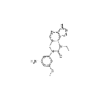 CCN1C(=O)N(c2cc(N)cc(OC)c2)Cc2cnc3[nH]ccc3c21